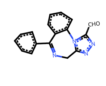 O=Cc1nnc2n1-c1ccccc1C(c1ccccc1)=NC2